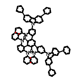 c1ccc(-c2ccc3c(c2)c2cc(-c4ccccc4)ccc2n3-c2ccc3c(c2)N(c2ccccc2)B2c4c-3cc3c5c4-c4c(cccc4N(c4ccccc4)B5N(c4ccccc4)c4cc(-n5c6ccc(-c7ccccc7)cc6c6cc(-c7ccccc7)ccc65)ccc4-3)N2c2ccccc2)cc1